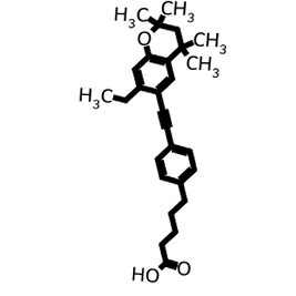 CCc1cc2c(cc1C#Cc1ccc(CCCCC(=O)O)cc1)C(C)(C)CC(C)(C)O2